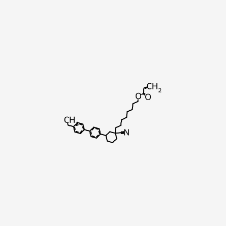 C=CC(=O)OCCCCCCCCC1(C#N)CCCC(c2ccc(-c3ccc(CC)cc3)cc2)C1